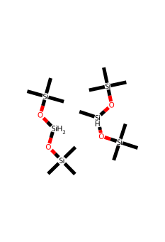 C[SiH](O[Si](C)(C)C)O[Si](C)(C)C.C[Si](C)(C)O[SiH2]O[Si](C)(C)C